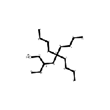 CCCCC(CCCC)(CCCC)CC(CC)CO